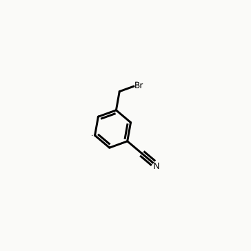 N#Cc1c[c]cc(CBr)c1